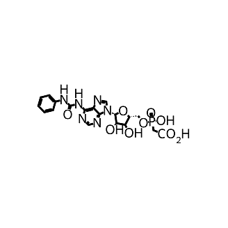 O=C(O)CP(=O)(O)OC[C@H]1O[C@@H](n2cnc3c(NC(=O)Nc4ccccc4)ncnc32)[C@@H](O)C1O